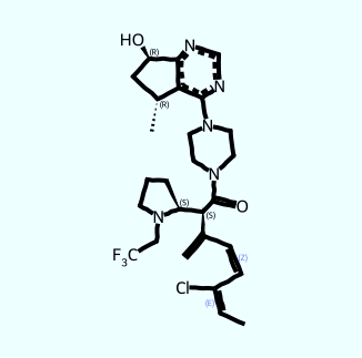 C=C(/C=C\C(Cl)=C/C)[C@H](C(=O)N1CCN(c2ncnc3c2[C@H](C)C[C@H]3O)CC1)[C@@H]1CCCN1CC(F)(F)F